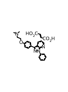 CN(C)CCOc1ccc(-c2nn(-c3ccccc3)c3ncccc23)cc1.O=C(O)C=CC(=O)O